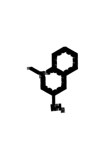 [CH2][n+]1cc(N)cc2ccccc21